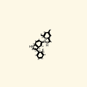 CC1=CC2=CNN(c3ccc4[nH]nc(-c5ccccc5F)c4c3)N2C(C)=C1